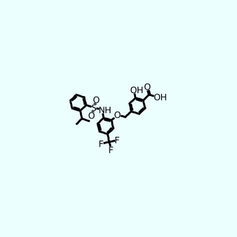 CC(C)c1ccccc1S(=O)(=O)Nc1ccc(C(F)(F)F)cc1OCc1ccc(C(=O)O)c(O)c1